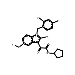 CCOc1ccc2c(c1)c(C(=O)C(=O)NC1CCCC1)c(C(F)(F)F)n2Cc1ccc(Cl)cc1Cl